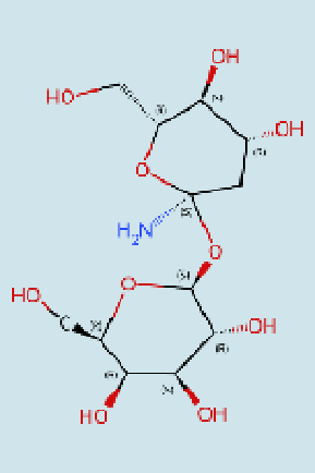 N[C@@]1(O[C@@H]2O[C@H](CO)[C@H](O)[C@H](O)[C@H]2O)C[C@@H](O)[C@H](O)[C@@H](CO)O1